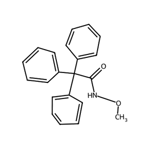 CONC(=O)C(c1ccccc1)(c1ccccc1)c1ccccc1